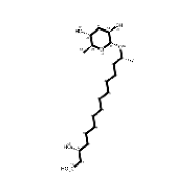 C[C@H](CCCCCCCCCC[C@@H](O)CC(=O)O)O[C@@H]1O[C@@H](C)[C@H](O)C[C@H]1O